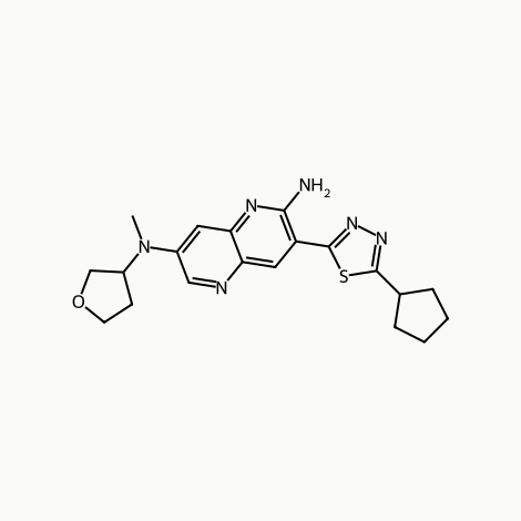 CN(c1cnc2cc(-c3nnc(C4CCCC4)s3)c(N)nc2c1)C1CCOC1